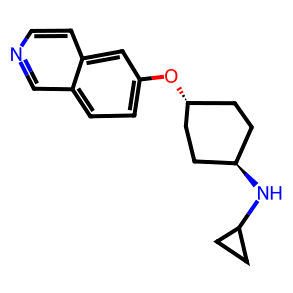 c1cc2cc(O[C@H]3CC[C@H](NC4CC4)CC3)ccc2cn1